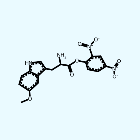 COc1ccc2[nH]cc(CC(N)C(=O)Oc3ccc([N+](=O)[O-])cc3[N+](=O)[O-])c2c1